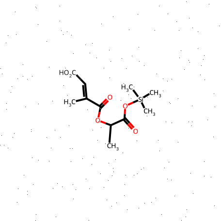 C/C(=C\C(=O)O)C(=O)OC(C)C(=O)O[Si](C)(C)C